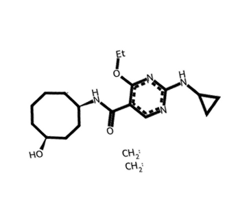 CCOc1nc(NC2CC2)ncc1C(=O)N[C@@H]1[CH]CCC[C@H](O)CC1.[CH2].[CH2]